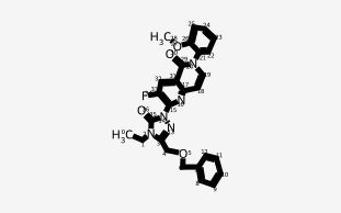 CCn1c(COCc2ccccc2)nn(-c2nc3ccn(-c4ccccc4OC)c(=O)c3cc2F)c1=O